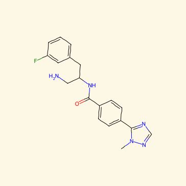 Cn1ncnc1-c1ccc(C(=O)NC(CN)Cc2cccc(F)c2)cc1